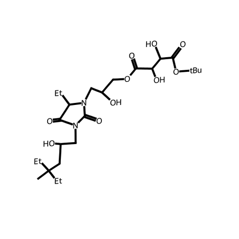 CCC1C(=O)N(CC(O)CC(C)(CC)CC)C(=O)N1CC(O)COC(=O)C(O)C(O)C(=O)OC(C)(C)C